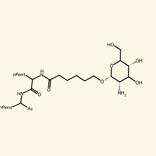 CCCCCC(NC(=O)C(CCCCC)NC(=O)CCCCCO[C@@H]1OC(CO)[C@H](O)C(O)[C@@H]1N)C(C)=O